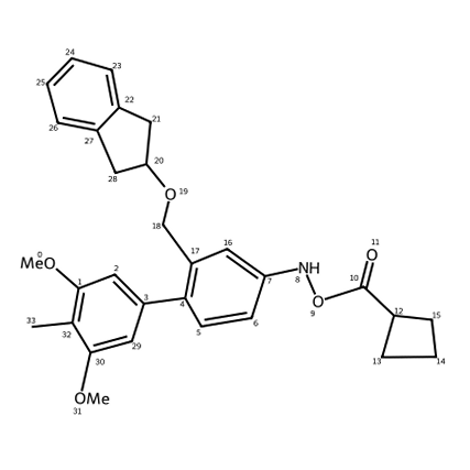 COc1cc(-c2ccc(NOC(=O)C3CCC3)cc2COC2Cc3ccccc3C2)cc(OC)c1C